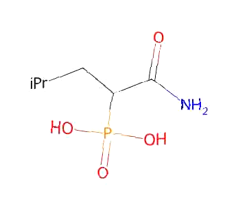 CC(C)CC(C(N)=O)P(=O)(O)O